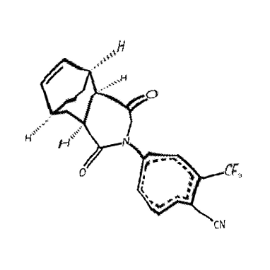 N#Cc1ccc(N2C(=O)[C@@H]3[C@H](C2=O)[C@@H]2C=C[C@H]3CC2)cc1C(F)(F)F